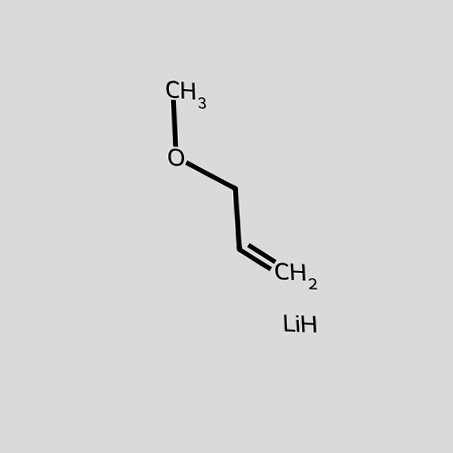 C=CCOC.[LiH]